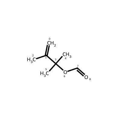 C=C(C)C(C)(C)O[C]=O